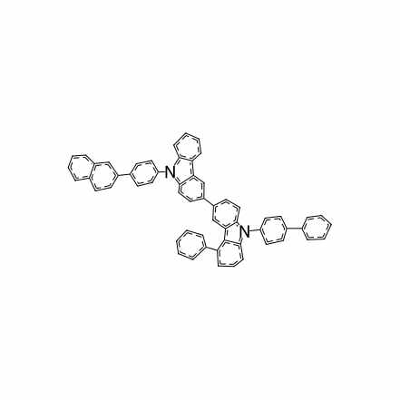 c1ccc(-c2ccc(-n3c4ccc(-c5ccc6c(c5)c5ccccc5n6-c5ccc(-c6ccc7ccccc7c6)cc5)cc4c4c(-c5ccccc5)cccc43)cc2)cc1